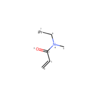 C=CC(=O)N(C)CC(C)C